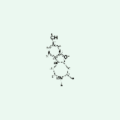 CC1Cc2oc3cc(O)ccc3c2CCN1C